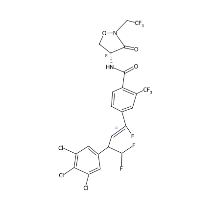 O=C(N[C@@H]1CON(CC(F)(F)F)C1=O)c1ccc(/C(F)=C/C(c2cc(Cl)c(Cl)c(Cl)c2)C(F)F)cc1C(F)(F)F